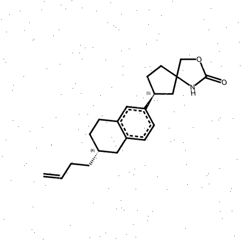 C=CCC[C@@H]1CCc2cc([C@H]3CCC4(COC(=O)N4)C3)ccc2C1